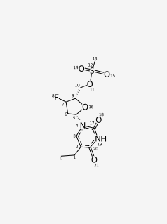 CCc1cn([C@@H]2CC(F)[C@H](COS(C)(=O)=O)O2)c(=O)[nH]c1=O